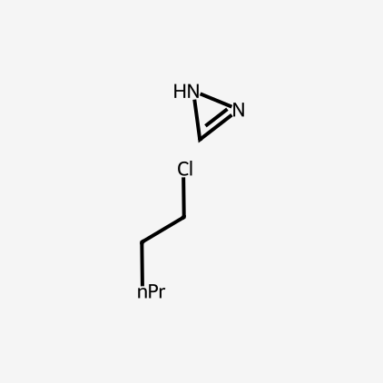 C1=NN1.CCCCCCl